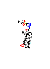 C[C@@]1(O)CC[C@@H]2[C@H]3CC[C@]4(C)[C@@H](C(=O)Cn5cc(S(C)(=O)=O)cn5)CC[C@H]4[C@@H]3C[C@@H](F)[C@H]2C1